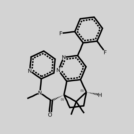 CN(C(=O)[C@]12CC[C@H](c3cc(-c4c(F)cccc4F)nnc31)C2(C)C)c1ccccn1